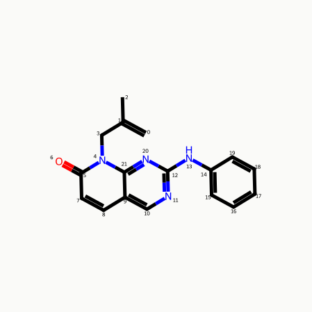 C=C(C)Cn1c(=O)ccc2cnc(Nc3ccccc3)nc21